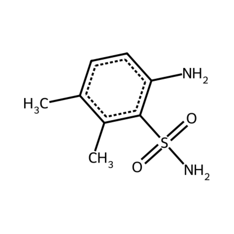 Cc1ccc(N)c(S(N)(=O)=O)c1C